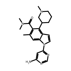 Cc1cc2c(ccn2-c2cc(N)ncn2)c(C2CCCN(C)C2)c1C(=O)N(C)C